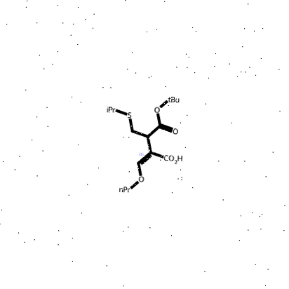 CCCO/C=C(\C(=O)O)C(CSC(C)C)C(=O)OC(C)(C)C